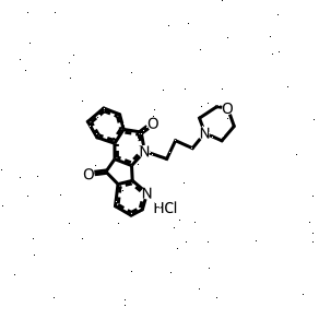 Cl.O=C1c2cccnc2-c2c1c1ccccc1c(=O)n2CCCN1CCOCC1